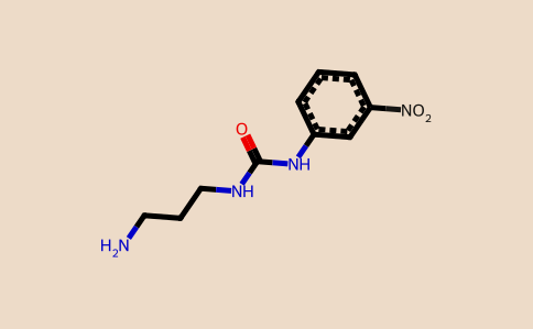 NCCCNC(=O)Nc1cccc([N+](=O)[O-])c1